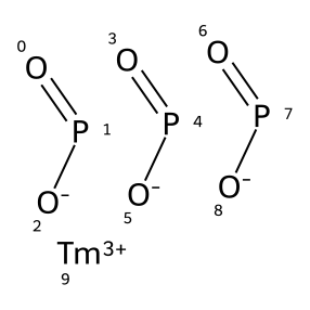 O=P[O-].O=P[O-].O=P[O-].[Tm+3]